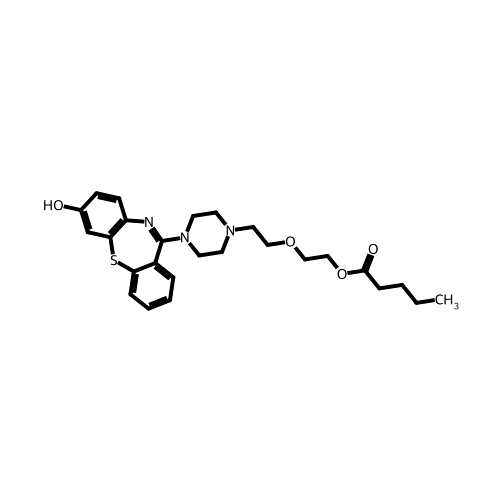 CCCCC(=O)OCCOCCN1CCN(C2=Nc3ccc(O)cc3Sc3ccccc32)CC1